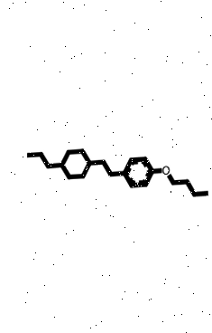 CCCCOc1ccc(CCC2CCC(CCC)CC2)cc1